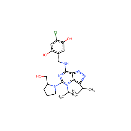 CC(C)c1nnc2c(NCc3cc(O)c(Cl)cc3O)nc(N3CCCC3CO)n(C(C)C)c1-2